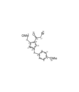 COCc1nn(Cc2ccc(OC)cc2)cc1C(=O)CBr